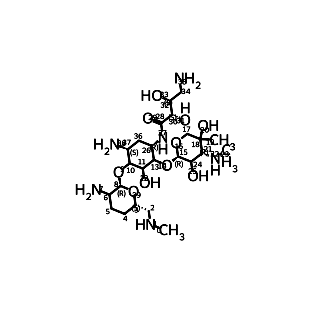 CNC[C@@H]1CCC(N)[C@@H](OC2C(O)C(O[C@H]3OCC(C)(O)[C@H](NC)C3O)[C@H](NC(=O)[C@@H](O)[C@@H](O)CN)C[C@@H]2N)O1